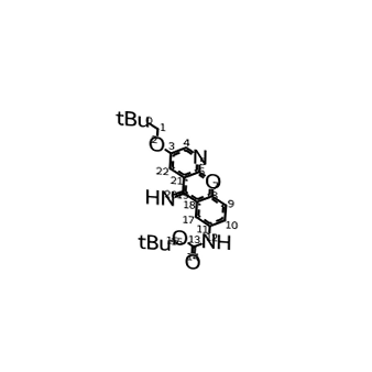 CC(C)(C)COc1cnc2oc3ccc(NC(=O)OC(C)(C)C)cc3c(=N)c2c1